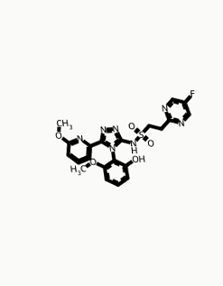 COC1=NC(c2nnc(NS(=O)(=O)CCc3ncc(F)cn3)n2-c2c(O)cccc2OC)=C=C=C1